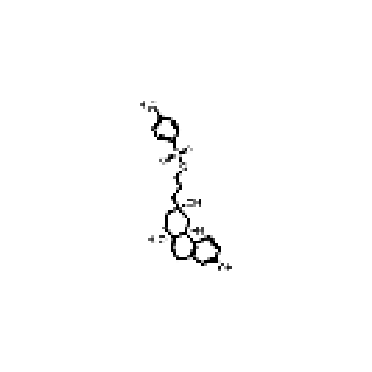 Cc1ccc(S(=O)(=O)OCCC[C@]2(O)CC[C@]3(C)CCc4cc(O)ccc4[C@H]3C2)cc1